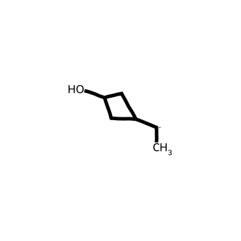 C[CH]C1CC(O)C1